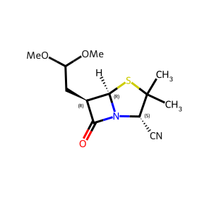 COC(C[C@@H]1C(=O)N2[C@@H]1SC(C)(C)[C@@H]2C#N)OC